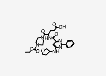 CCOC(=O)N1CCN(C(=O)C(CCC(=O)O)NC(=O)c2cc(NC3CCOC3)nc(-c3ccccc3)n2)CC1